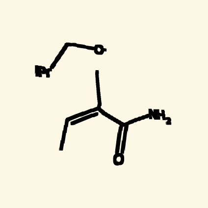 CC(C)C[O].CC=C(C)C(N)=O